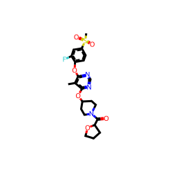 Cc1c(Oc2ccc(S(C)(=O)=O)cc2F)ncnc1OC1CCN(C(=O)C2CCCO2)CC1